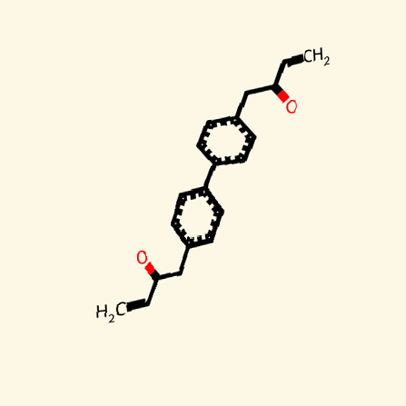 C=CC(=O)Cc1ccc(-c2ccc(CC(=O)C=C)cc2)cc1